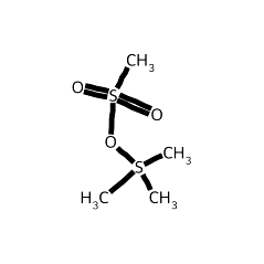 CS(C)(C)OS(C)(=O)=O